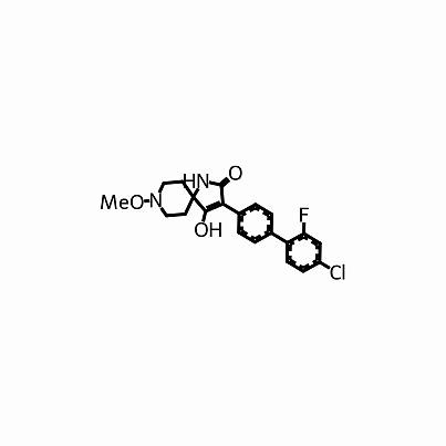 CON1CCC2(CC1)NC(=O)C(c1ccc(-c3ccc(Cl)cc3F)cc1)=C2O